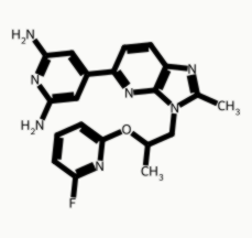 Cc1nc2ccc(-c3cc(N)nc(N)c3)nc2n1CC(C)Oc1cccc(F)n1